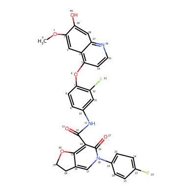 COc1cc2c(Oc3ccc(NC(=O)c4c5c(cn(-c6ccc(F)cc6)c4=O)CCO5)cc3F)ccnc2cc1O